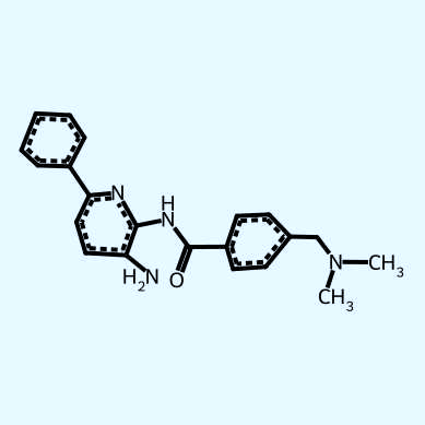 CN(C)Cc1ccc(C(=O)Nc2nc(-c3ccccc3)ccc2N)cc1